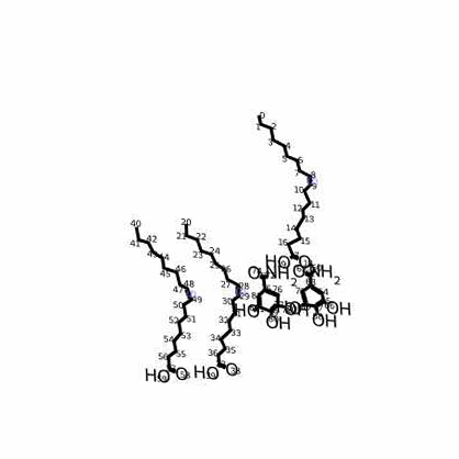 CCCCCCCC/C=C\CCCCCCCC(=O)O.CCCCCCCC/C=C\CCCCCCCC(=O)O.CCCCCCCC/C=C\CCCCCCCC(=O)O.NC(=O)c1cc(O)c(O)c(O)c1.NC(=O)c1cc(O)c(O)c(O)c1